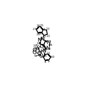 CS(=O)(=O)N(N(c1ccccc1)c1ncnc2c1cnn2C1CCc2c[c]ccc21)S(C)(=O)=O